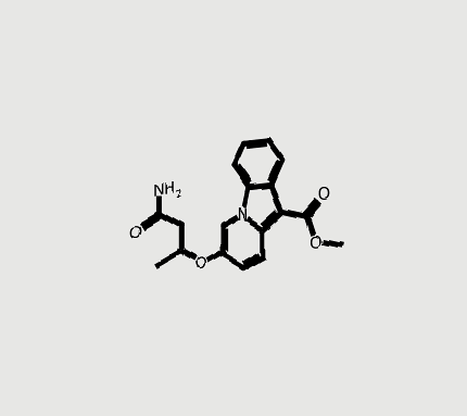 COC(=O)c1c2ccccc2n2cc(OC(C)CC(N)=O)ccc12